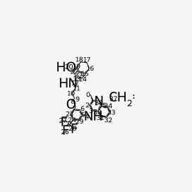 Cc1cc(Nc2cc(OCCCNC3CC4CCCC(O)(C4)C3)cc(C(F)(F)F)c2)c2ccccc2n1.[CH2]